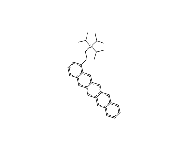 CC(C)[Si](CCc1cccc2cc3cc4cc5ccccc5cc4cc3cc12)(C(C)C)C(C)C